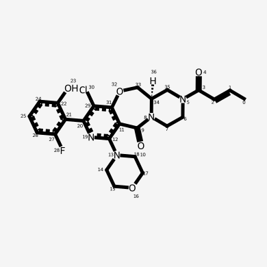 C/C=C/C(=O)N1CCN2C(=O)c3c(N4CCOCC4)nc(-c4c(O)cccc4F)c(Cl)c3OC[C@H]2C1